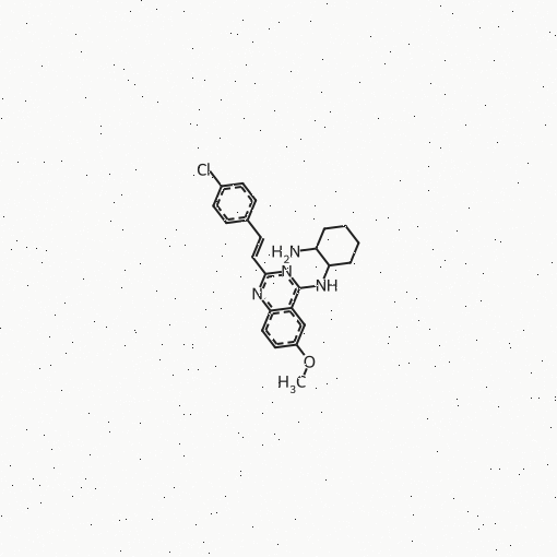 COc1ccc2nc(/C=C/c3ccc(Cl)cc3)nc(NC3CCCCC3N)c2c1